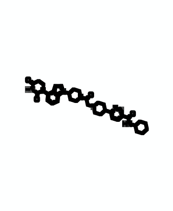 O=C1CCN(c2cccc3c2ccn3C2CCN(C(=O)CN3CCC(c4ccc(C(=O)NC5CCCCC5)nn4)CC3)CC2)C(=O)N1